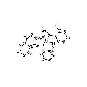 Cc1ccccc1CC(O)(Cc1ccccc1C)[C@H](N)c1ccc2ccccc2c1